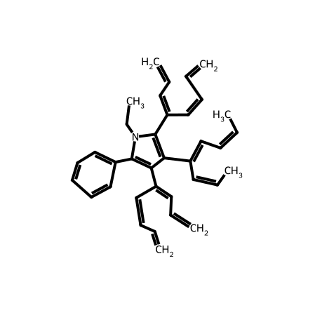 C=C/C=C\C(=C/C=C)c1c(C(/C=C\C)=C/C=C\C)c(C(/C=C\C=C)=C/C=C)n(CC)c1-c1ccccc1